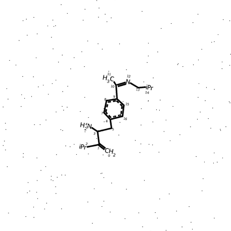 C=C(C(C)C)C(N)Cc1ccc(/C(C)=N\CC(C)C)cc1